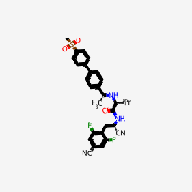 CC(C)[C@H](N[C@@H](c1ccc(-c2ccc(S(C)(=O)=O)cc2)cc1)C(F)(F)F)C(=O)N[C@H](C#N)Cc1c(F)cc(C#N)cc1F